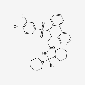 CCC(NC(=O)CC1c2ccccc2-c2ccccc2N1S(=O)(=O)c1ccc(Cl)c(Cl)c1)(N1CCCCC1)N1CCCCC1